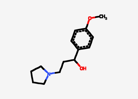 COc1ccc(C(O)CCN2CCCC2)cc1